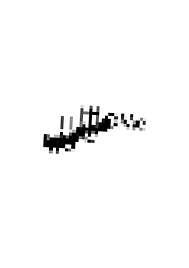 COc1ccc(CNC(=O)NC2CC3(C2)CC(C(=O)Nc2ccn4cnnc4c2)C3)cc1